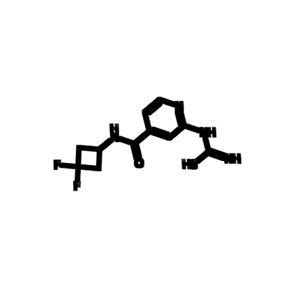 N=C(S)Nc1cc(C(=O)NC2CC(F)(F)C2)ccn1